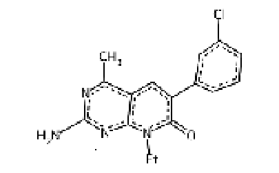 CCn1c(=O)c(-c2cccc(Cl)c2)cc2c(C)nc(N)nc21